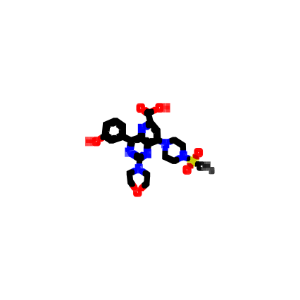 CS(=O)(=O)N1CCN(c2cc(C(=O)O)nc3c(-c4cccc(O)c4)nc(N4CCOCC4)nc23)CC1